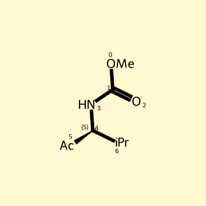 COC(=O)N[C@H](C(C)=O)C(C)C